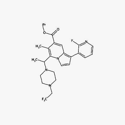 Cc1c(C(=O)OC(C)C)cc2c(-c3cccnc3F)ccn2c1C(C)N1CCN(CC(F)(F)F)CC1